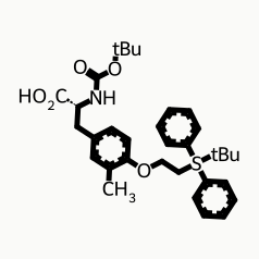 Cc1cc(C[C@@H](NC(=O)OC(C)(C)C)C(=O)O)ccc1OCCS(c1ccccc1)(c1ccccc1)C(C)(C)C